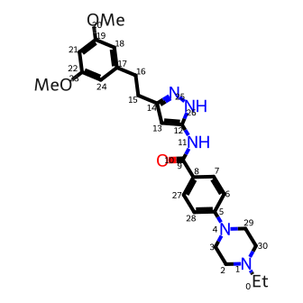 CCN1CCN(c2ccc(C(=O)Nc3cc(CCc4cc(OC)cc(OC)c4)n[nH]3)cc2)CC1